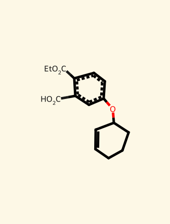 CCOC(=O)c1ccc(OC2C=CCCC2)cc1C(=O)O